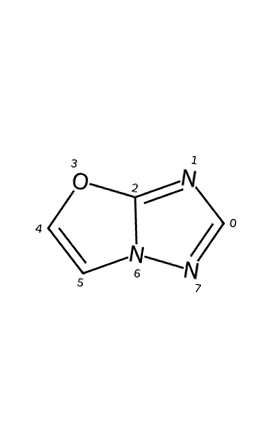 c1nc2occn2n1